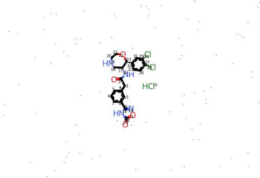 Cl.O=C(Cc1cccc(-c2noc(=O)[nH]2)c1)N[C@@H]1CNCCO[C@H]1c1ccc(Cl)c(Cl)c1